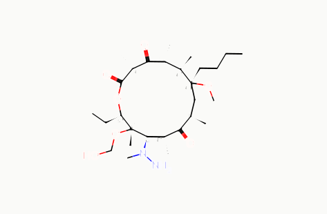 CCCC[C@@]1(OC)C[C@@H](C)C(=O)[C@H](C)[C@@H](N(C)N)[C@](C)(OCO)[C@@H](CC)OC(=O)[C@H](C)C(=O)[C@H](C)[C@H]1C